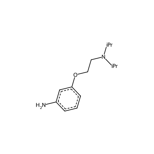 CC(C)N(CCOc1cccc(N)c1)C(C)C